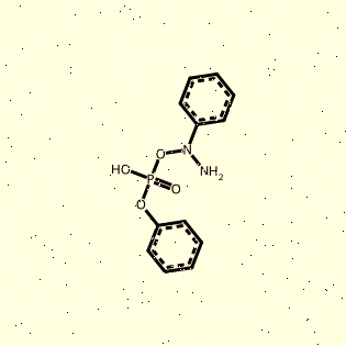 NN(OP(=O)(O)Oc1ccccc1)c1ccccc1